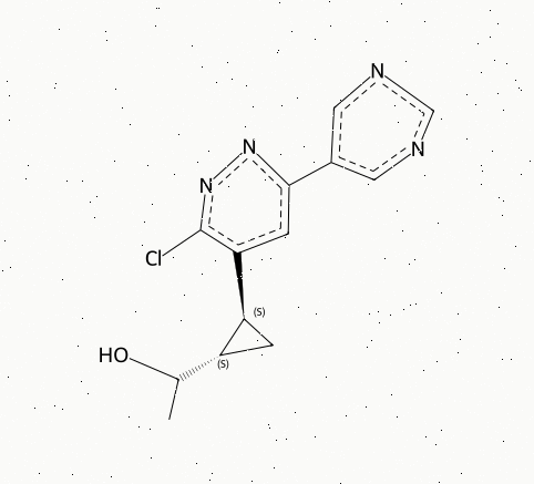 CC(O)[C@H]1C[C@@H]1c1cc(-c2cncnc2)nnc1Cl